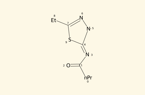 CCCC(=O)N=C1[N]N=C(CC)S1